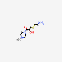 CCCCN1CCN(C(=O)C(O)CSCCN)CC1